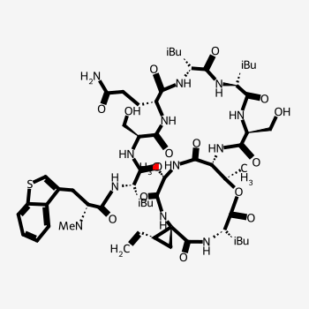 C=C[C@H]1C[C@]12NC(=O)[C@H](C)NC(=O)[C@H](NC(=O)[C@H](CO)NC(=O)[C@@H](NC(=O)[C@H](NC(=O)[C@@H](CCC(N)=O)NC(=O)[C@H](CO)NC(=O)[C@@H](NC(=O)[C@@H](Cc1csc3ccccc13)NC)[C@@H](C)CC)[C@@H](C)CC)[C@@H](C)CC)[C@H](C)OC(=O)[C@H]([C@@H](C)CC)NC2=O